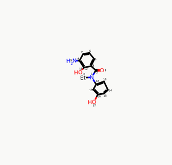 CCN(C(=O)c1cccc(N)c1O)c1cccc(O)c1